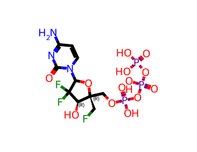 Nc1ccn(C2O[C@](CF)(COP(=O)(O)OP(=O)(O)OP(=O)(O)O)[C@@H](O)C2(F)F)c(=O)n1